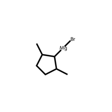 CC1CCC(C)[CH]1[Mg][Br]